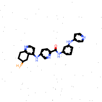 O=C(Nc1cccc(Nc2ccncc2)c1)c1ccc(Nc2ccnc3c2CC(P)CC3)cn1